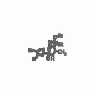 CCOc1nnc([C@@H](C)NS(=O)(=O)c2ccc(Br)c(Br)c2)n1CC